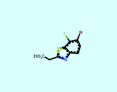 CCOC(=O)Cc1nc2ccc(Br)c(F)c2s1